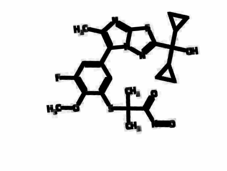 COc1c(F)cc(-c2c(C)nc3sc(C(O)(C4CC4)C4CC4)nn23)cc1SC(C)(C)C(=O)N=O